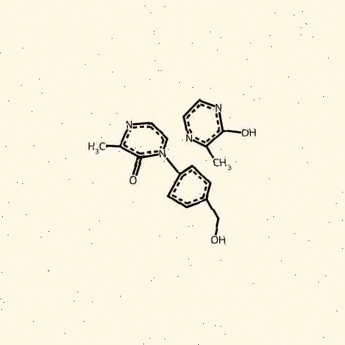 Cc1nccn(-c2ccc(CO)cc2)c1=O.Cc1nccnc1O